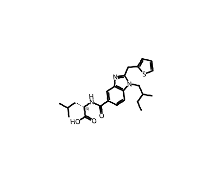 CCC(C)Cn1c(Cc2cccs2)nc2cc(C(=O)N[C@@H](CC(C)C)C(=O)O)ccc21